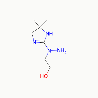 CC1(C)CN=C(N(N)CCO)N1